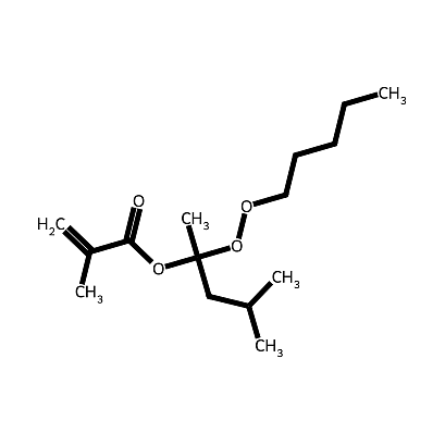 C=C(C)C(=O)OC(C)(CC(C)C)OOCCCCC